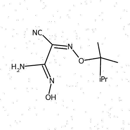 CC(C)C(C)(C)ON=C(C#N)C(N)=NO